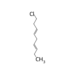 CCC=CCC=CCCCl